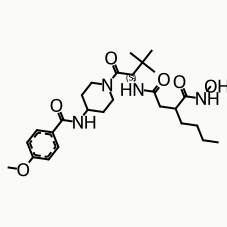 CCCCC(CC(=O)N[C@H](C(=O)N1CCC(NC(=O)c2ccc(OC)cc2)CC1)C(C)(C)C)C(=O)NO